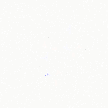 CC(C)(C)OC(=O)Nc1c[nH]c2ccc(Br)cc12.CC(C)(C)OC(=O)Nc1cn(C(=O)OC(C)(C)C)c2ccc(Br)cc12